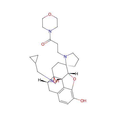 O=C(CCN1CCC[C@]12CC[C@@]1(O)[C@H]3Cc4ccc(O)c5c4[C@@]1(CCN3CC1CC1)[C@H]2O5)N1CCOCC1